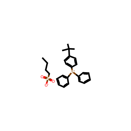 CC(C)(C)c1ccc([S+](c2ccccc2)c2ccccc2)cc1.CCCCS(=O)(=O)[O-]